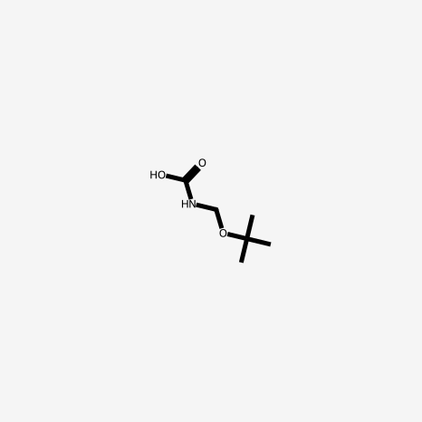 CC(C)(C)OCNC(=O)O